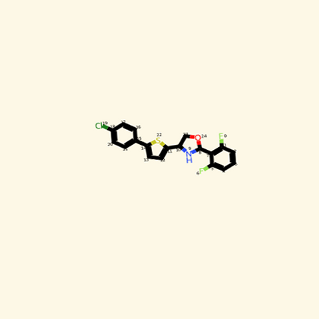 Fc1cccc(F)c1C1NC(c2ccc(-c3ccc(Cl)cc3)s2)CO1